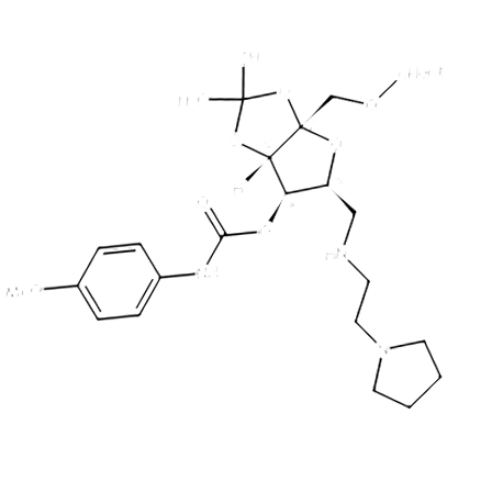 CCCCCCCOC[C@@]12O[C@@H](CNCCN3CCCC3)[C@@H](OC(=O)Nc3ccc(OC)cc3)[C@@H]1OC(C)(C)O2